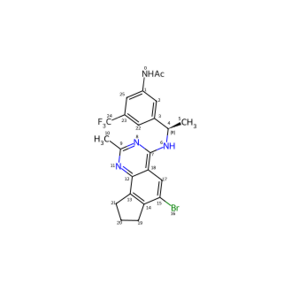 CC(=O)Nc1cc([C@@H](C)Nc2nc(C)nc3c4c(c(Br)cc23)CCC4)cc(C(F)(F)F)c1